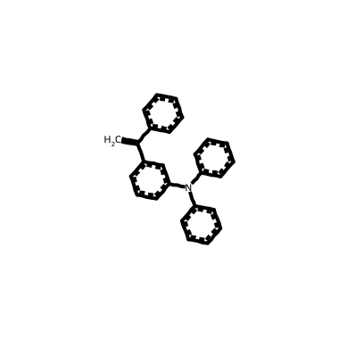 C=C(c1ccccc1)c1cccc(N(c2ccccc2)c2ccccc2)c1